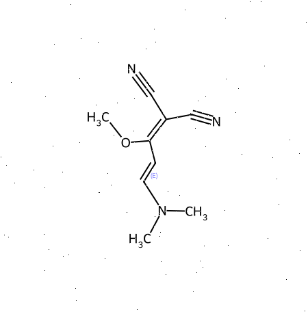 COC(/C=C/N(C)C)=C(C#N)C#N